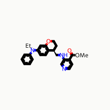 CCN(c1ccccc1)c1ccc2c(c1)OCC[C@H]2CNc1cnccc1C(=O)OC